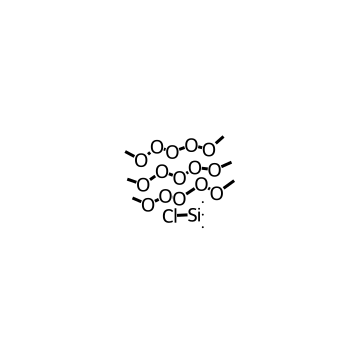 COOOOOC.COOOOOC.COOOOOC.[Si]Cl